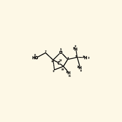 [2H]C([2H])([2H])C1OC2(CO)CC1([2H])C2